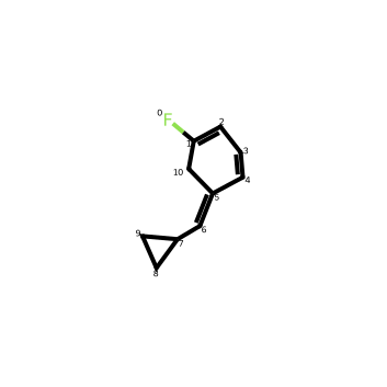 FC1=CC=CC(=CC2CC2)C1